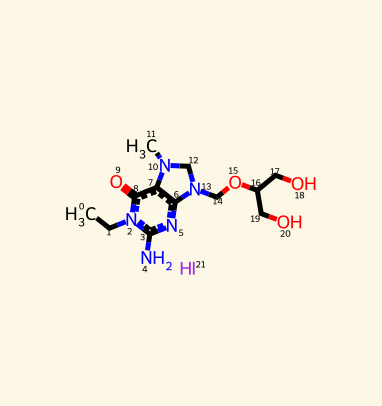 CCn1c(N)nc2c(c1=O)N(C)CN2COC(CO)CO.I